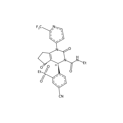 CCNC(=O)N1C(=O)N(c2ccnc(C(F)(F)F)c2)C2=C(C(=O)CC2)[C@@H]1c1ccc(C#N)cc1S(=O)(=O)CC